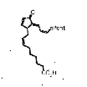 CCCCC/C=C\C=C1\C(=O)C=C[C@@H]1C/C=C\CCCCCC(=O)O